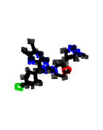 Cc1cc(Cl)ccc1-c1nc(N2CCO[C@@H](c3cnn(C)c3)C2)nc2nc(C)c(C)nc12